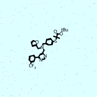 CC(C)(C)OC(=O)C(C)(C)Sc1ccc(CN(Cc2cc(-c3cccc(C(F)(F)F)c3)ncn2)Cc2ccco2)cc1